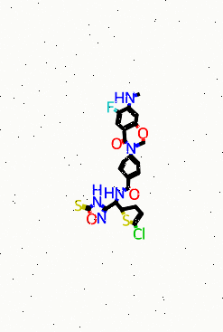 CNc1cc2c(cc1F)C(=O)N(c1ccc(C(=O)NC(c3noc(=S)[nH]3)C3CC=C(Cl)S3)cc1)CO2